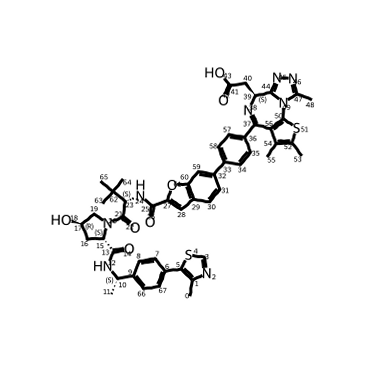 Cc1ncsc1-c1ccc([C@H](C)NC(=O)[C@@H]2C[C@@H](O)CN2C(=O)[C@@H](NC(=O)c2cc3ccc(-c4ccc(C5=N[C@@H](CC(=O)O)c6nnc(C)n6-c6sc(C)c(C)c65)cc4)cc3o2)C(C)(C)C)cc1